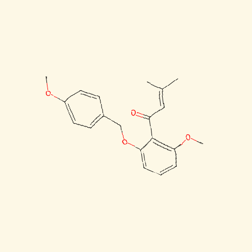 COc1ccc(COc2cccc(OC)c2C(=O)C=C(C)C)cc1